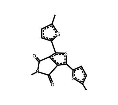 Cc1ccc(-c2sc(-c3ccc(C)s3)c3c2C(=O)N(C)C3=O)s1